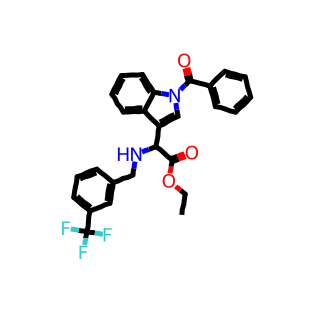 CCOC(=O)C(NCc1cccc(C(F)(F)F)c1)c1cn(C(=O)c2ccccc2)c2ccccc12